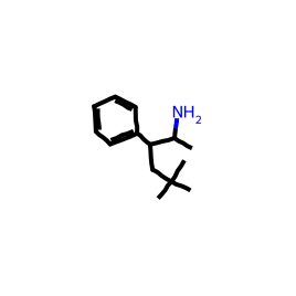 CC(N)C(CC(C)(C)C)c1ccccc1